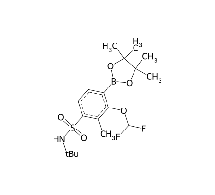 Cc1c(S(=O)(=O)NC(C)(C)C)ccc(B2OC(C)(C)C(C)(C)O2)c1OC(F)F